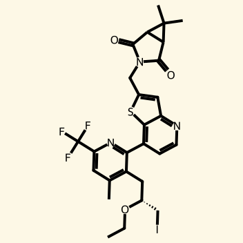 CCO[C@@H](CI)Cc1c(C)cc(C(F)(F)F)nc1-c1ccnc2cc(CN3C(=O)C4C(C3=O)C4(C)C)sc12